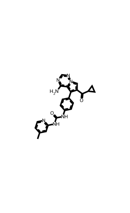 Cc1ccnc(NC(=O)Nc2ccc(-c3c(C(=O)C4CC4)cn4ncnc(N)c34)cc2)c1